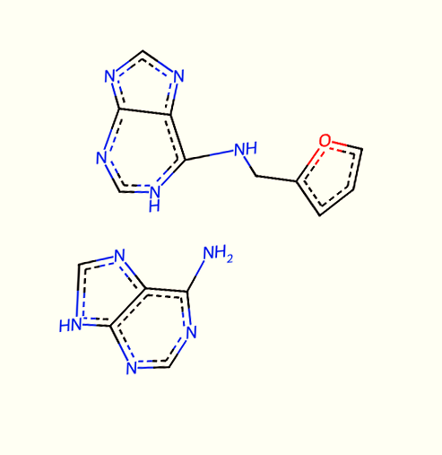 Nc1ncnc2[nH]cnc12.c1coc(CNc2[nH]cnc3ncnc2-3)c1